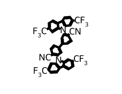 N#Cc1ccc(-c2ccc(C#N)c(-n3c4cc(C(F)(F)F)ccc4c4ccc(C(F)(F)F)cc43)c2)cc1-n1c2cc(C(F)(F)F)ccc2c2ccc(C(F)(F)F)cc21